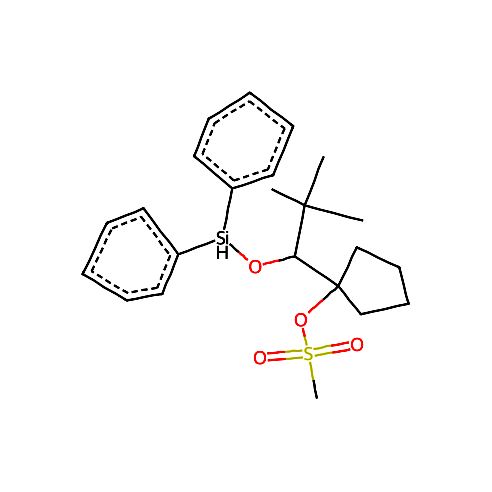 CC(C)(C)C(O[SiH](c1ccccc1)c1ccccc1)C1(OS(C)(=O)=O)CCCC1